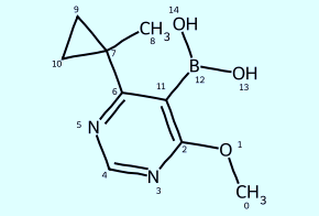 COc1ncnc(C2(C)CC2)c1B(O)O